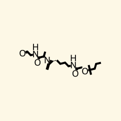 C=C1[C@@H](CCCCNC(=O)COC(C)(C)CCC)N1C(C)C(=O)NCC=O